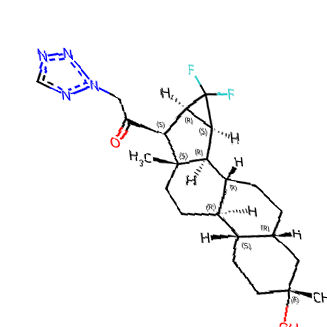 C[C@@]1(O)CC[C@H]2[C@H](CC[C@@H]3[C@@H]2CC[C@@]2(C)[C@H]3[C@H]3[C@@H]([C@@H]2C(=O)Cn2ncnn2)C3(F)F)C1